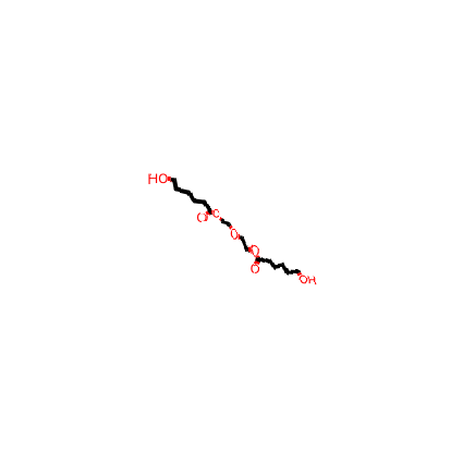 O=C(CCCCCO)OCCOCCOC(=O)CCCCCO